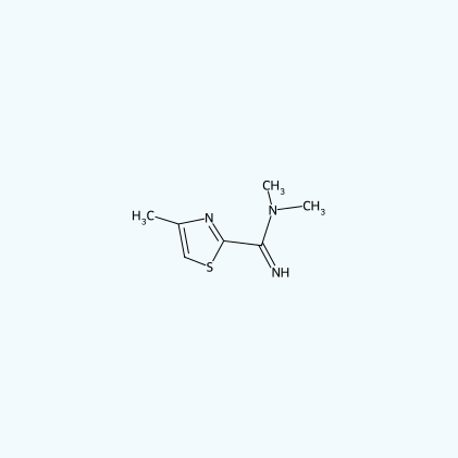 Cc1csc(C(=N)N(C)C)n1